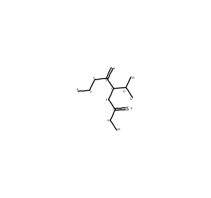 C=C(CCC)C(CC(=S)CC)C(C)C